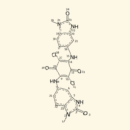 Cn1c(=O)[nH]c2cc(NC3=C(Cl)C(=O)C(Nc4ccc5c(c4)[nH]c(=O)n5C)=C(Cl)C3=O)ccc21